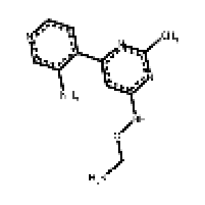 Cc1nc(BOCN)cc(-c2ccncc2N)n1